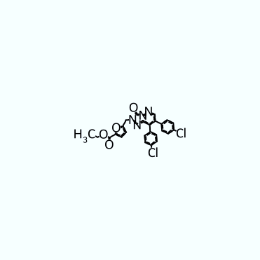 CCOC(=O)c1ccc(Cn2nc3c(-c4ccc(Cl)cc4)c(-c4ccc(Cl)cc4)cnn3c2=O)o1